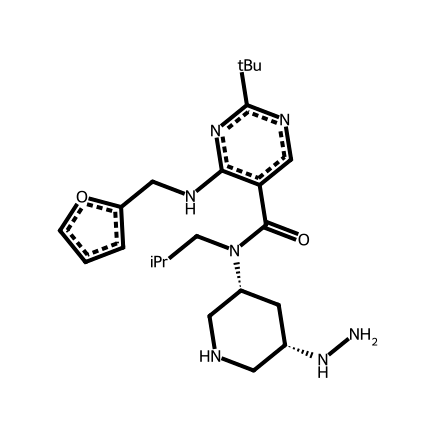 CC(C)CN(C(=O)c1cnc(C(C)(C)C)nc1NCc1ccco1)[C@H]1CNC[C@@H](NN)C1